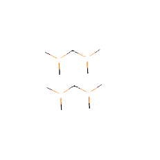 CP(C)CP(C)C.CP(C)CP(C)C.S